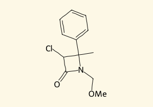 COCN1C(=O)C(Cl)C1(C)c1ccccc1